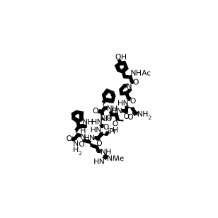 CNC(=N)NCCC[C@H](NC(=O)[C@H](CC(C)C)NC(=O)NNC(=O)[C@H](Cc1ccccc1)NC(=O)[C@@H](NC(=O)[C@H](CC(N)=O)NC(=O)C1CCCN(C(=O)[C@@H](Cc2ccc(O)cc2)NC(C)=O)C1)[C@@H](C)O)C(=O)N[C@@H](Cc1c[nH]c2ccccc12)C(N)=O